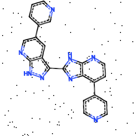 c1cncc(-c2cnc3[nH]nc(-c4nc5c(-c6ccncc6)ccnc5[nH]4)c3c2)c1